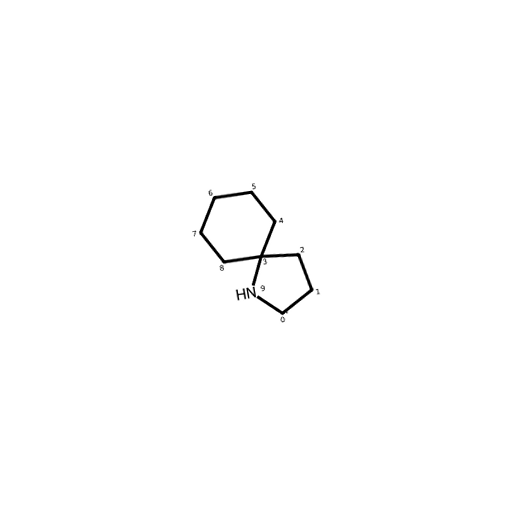 [CH]1CCC2(CCCCC2)N1